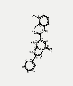 Cc1cccc(NC(=O)c2cc(=O)n3nc(-c4ccccc4)nc3[nH]2)c1C